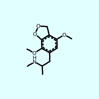 CNC(C)Cc1cc(OC)c2c(c1OC)OOC2